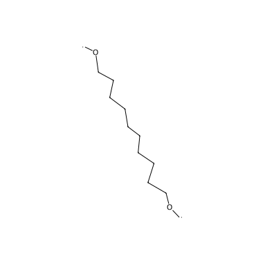 [CH2]OCCCCCCCCCCO[CH2]